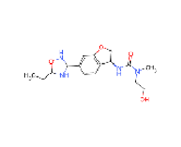 CCC1NC(c2ccc3c(c2)OC[C@H]3NC(=O)N(C)CCO)NO1